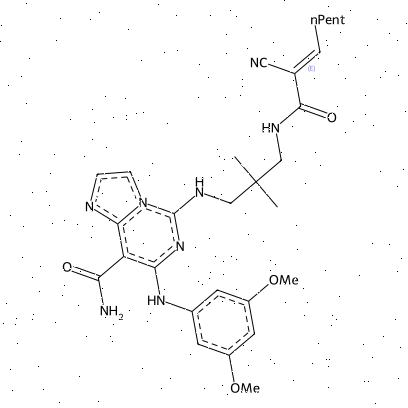 CCCCC/C=C(\C#N)C(=O)NCC(C)(C)CNc1nc(Nc2cc(OC)cc(OC)c2)c(C(N)=O)c2nccn12